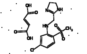 CS(=O)(=O)c1ccc(Cl)cc1NCC1=NCCN1.O=C(O)C=CC(=O)O